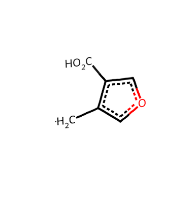 [CH2]c1cocc1C(=O)O